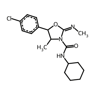 C/N=C1/OC(c2ccc(Cl)cc2)C(C)N1C(=O)NC1CCCCC1